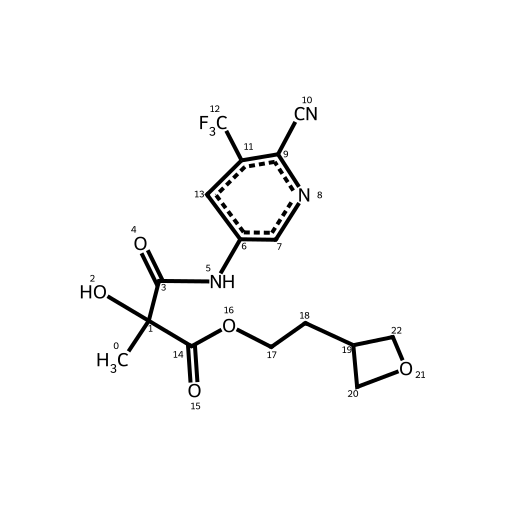 CC(O)(C(=O)Nc1cnc(C#N)c(C(F)(F)F)c1)C(=O)OCCC1COC1